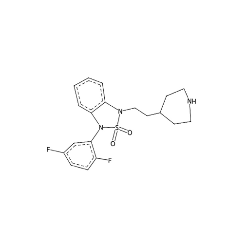 O=S1(=O)N(CCC2CCNCC2)c2ccccc2N1c1cc(F)ccc1F